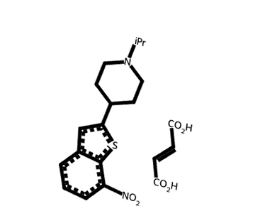 CC(C)N1CCC(c2cc3cccc([N+](=O)[O-])c3s2)CC1.O=C(O)C=CC(=O)O